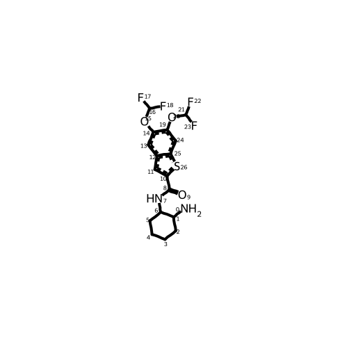 NC1CCCCC1NC(=O)c1cc2cc(OC(F)F)c(OC(F)F)cc2s1